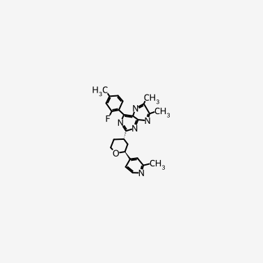 Cc1ccc(-c2nc([C@H]3CCO[C@H](c4ccnc(C)c4)C3)nc3nc(C)c(C)nc23)c(F)c1